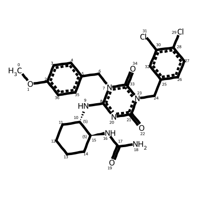 COc1ccc(Cn2c(N[C@H]3CCCC[C@@H]3NC(N)=O)nc(=O)n(Cc3ccc(Cl)c(Cl)c3)c2=O)cc1